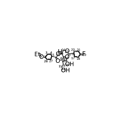 CCOc1ccc(C2O[C@H]([C@H](O)CO)[C@@H]3OC(c4ccc(F)cc4)OC[C@@H]3O2)cc1